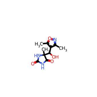 Cc1noc(C)c1C(O)C1(C)NC(=O)NC1=O